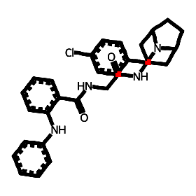 O=C(CNC(=O)c1ccccc1Nc1ccccc1)NC1CC2CCC(C1)N2Cc1ccc(Cl)cc1